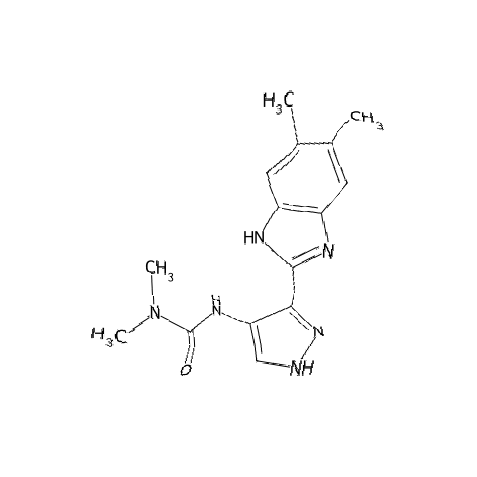 Cc1cc2nc(-c3n[nH]cc3NC(=O)N(C)C)[nH]c2cc1C